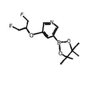 CC1(C)OB(c2cncc(OC(CF)CF)c2)OC1(C)C